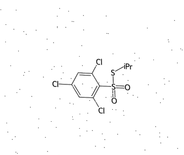 CC(C)SS(=O)(=O)c1c(Cl)cc(Cl)cc1Cl